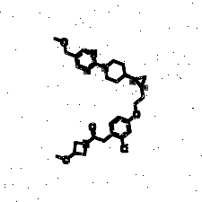 COCc1cnc(N2CCC([C@H]3C[C@H]3CCOc3ccc(CC(=O)N4CC(OC)C4)c(Cl)c3)CC2)nc1